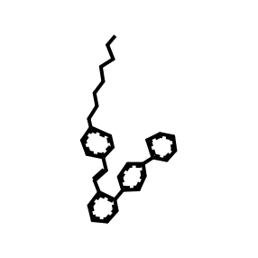 CCCCCCCCc1ccc(C=Cc2ccccc2-c2ccc(-c3ccccc3)cc2)cc1